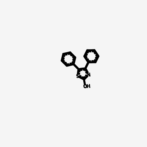 Oc1nc(-c2ccccc2)c(-c2ccccc2)s1